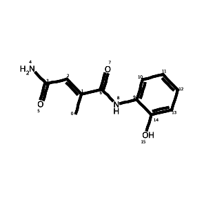 C/C(=C\C(N)=O)C(=O)Nc1ccccc1O